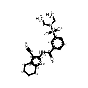 CCN(CC)S(=O)(=O)c1cccc(C(=O)Nc2sc3c(c2C#N)CCCC3)c1